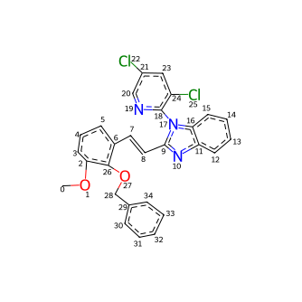 COc1cccc(/C=C/c2nc3ccccc3n2-c2ncc(Cl)cc2Cl)c1OCc1ccccc1